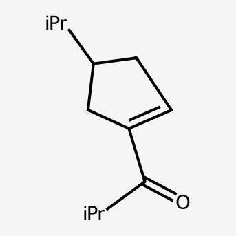 CC(C)C(=O)C1=CCC(C(C)C)C1